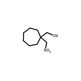 N#CCC1(C[N+](=O)[O-])CCCCCC1